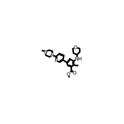 COC(=O)c1cc(-c2ccc(N3CCN(C)CC3)nc2)cc(NC2CCOCC2)c1C